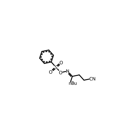 CCCC/C(CCC#N)=N\OS(=O)(=O)c1ccccc1